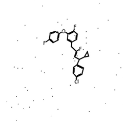 F/C(=C\C(c1ccc(Cl)cc1)C1CC1)Cc1ccc(F)c(Oc2ccc(F)cc2)c1